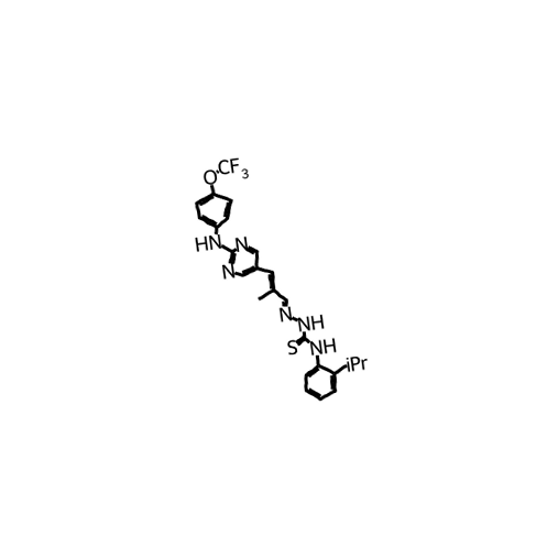 CC(/C=N/NC(=S)Nc1ccccc1C(C)C)=C\c1cnc(Nc2ccc(OC(F)(F)F)cc2)nc1